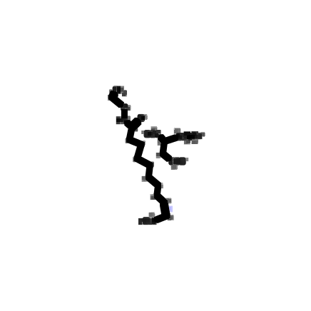 C=CONC(=O)CCCCCCC/C=C\CCCCCCCC.O=C([O-])CC(C(=O)[O-])S(=O)(=O)O.[Na+].[Na+]